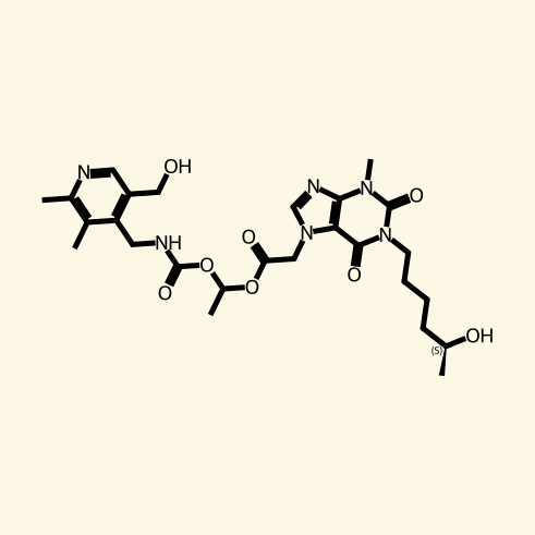 Cc1ncc(CO)c(CNC(=O)OC(C)OC(=O)Cn2cnc3c2c(=O)n(CCCC[C@H](C)O)c(=O)n3C)c1C